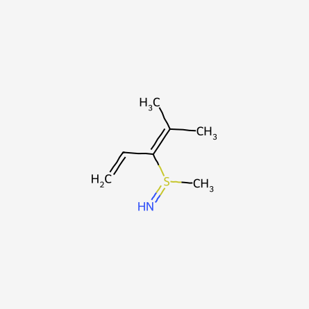 C=CC(=C(C)C)S(C)=N